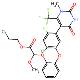 COC(Oc1ccccc1Oc1cc(-c2c(C(F)(F)F)n(C)c(=O)[nH]c2=O)c(F)cc1Cl)C(=O)OCCCl